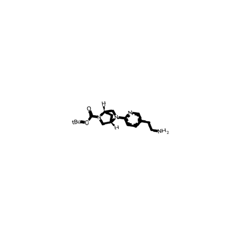 CC(C)(C)OC(=O)N1C[C@@H]2C[C@H]1CN2c1ccc(CCN)cn1